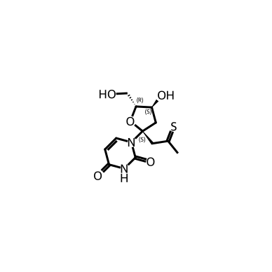 CC(=S)C[C@]1(n2ccc(=O)[nH]c2=O)C[C@H](O)[C@@H](CO)O1